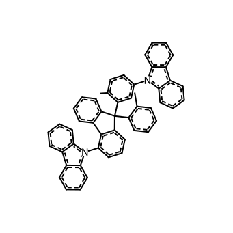 Cc1ccccc1C1(c2cc(-n3c4ccccc4c4ccccc43)ccc2C)c2ccccc2-c2c(-n3c4ccccc4c4ccccc43)cccc21